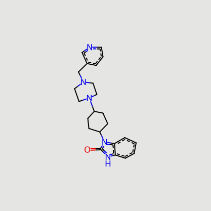 O=c1[nH]c2ccccc2n1C1CCC(N2CCN(Cc3cccnc3)CC2)CC1